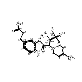 CC1CCN([C@@H](C(=O)Nc2cc(CCC(=O)O)ccc2Cl)[C@@H](C)C(F)(F)F)CC1